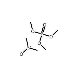 COP(=O)(OC)OC.C[S+](C)[O-]